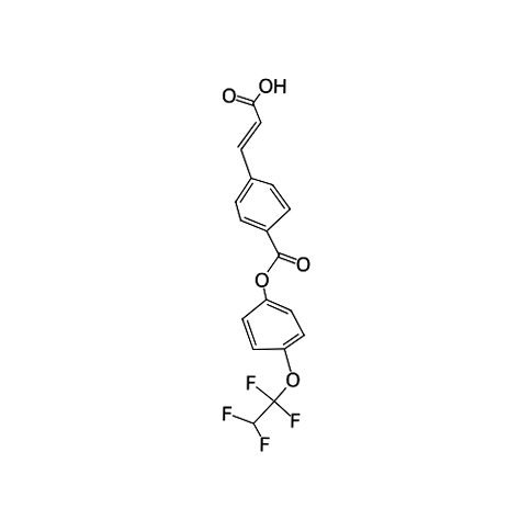 O=C(O)C=Cc1ccc(C(=O)Oc2ccc(OC(F)(F)C(F)F)cc2)cc1